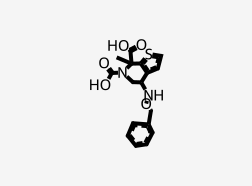 CC1(C(=O)O)c2sccc2C(NOCc2ccccc2)CN1C(=O)O